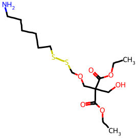 CCOC(=O)C(CO)(COCSSCCCCCCN)C(=O)OCC